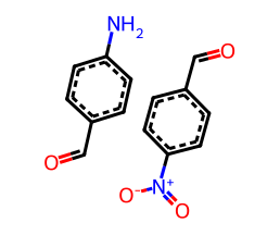 Nc1ccc(C=O)cc1.O=Cc1ccc([N+](=O)[O-])cc1